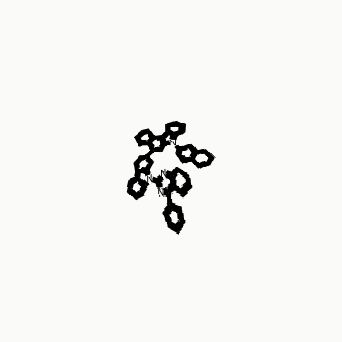 C1=Cc2ccc(-n3c4ccccc4c4c5ccccc5c(-c5ccc6c7ccccc7n(-c7nc8c(c(-c9ccccc9)n7)C=CCC8)c6c5)cc43)cc2CC1